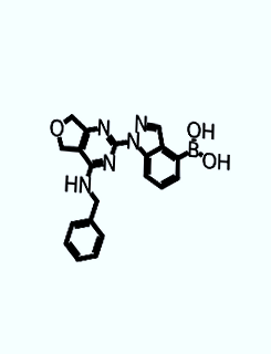 OB(O)c1cccc2c1cnn2-c1nc2c(c(NCc3ccccc3)n1)COC2